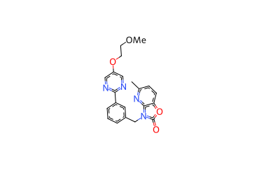 COCCOc1cnc(-c2cccc(Cn3c(=O)oc4ccc(C)nc43)c2)nc1